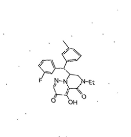 CCN1CC(C(c2cccc(C)c2)c2cccc(F)c2)n2ncc(=O)c(O)c2C1=O